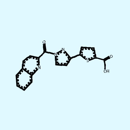 O=C(O)c1ccc(-c2ccn(C(=O)c3ccc4ccccc4n3)n2)s1